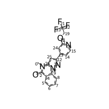 Cn1c(=O)c2ccccc2n2nc(-c3ccnc(OCC(F)(F)F)c3)cc12